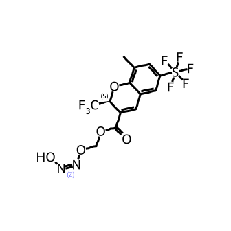 Cc1cc(S(F)(F)(F)(F)F)cc2c1O[C@H](C(F)(F)F)C(C(=O)OCO/N=N\O)=C2